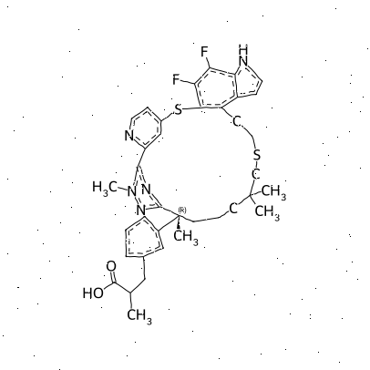 CC(Cc1cccc([C@@]2(C)CCCC(C)(C)CSCCc3c(c(F)c(F)c4[nH]ccc34)Sc3ccnc(c3)-c3nc2nn3C)c1)C(=O)O